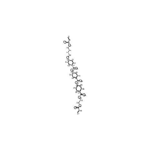 C=CC(=O)OCCCCOc1ccc(C(=O)Oc2ccc(C(=O)Oc3ccc(C(=O)OCCOC(=O)C=C)cc3)cc2)cc1